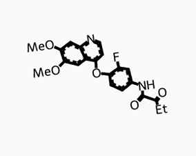 CCC(=O)C(=O)Nc1ccc(Oc2ccnc3cc(OC)c(OC)cc23)c(F)c1